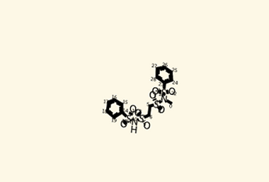 CN(S(=O)(=O)CCS(=O)(=O)NS(=O)(=O)c1ccccc1)S(=O)(=O)c1ccccc1